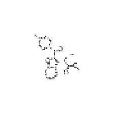 CCC(C(=O)OC)c1c(C(=O)c2ccc(C)cc2)oc2ccccc12